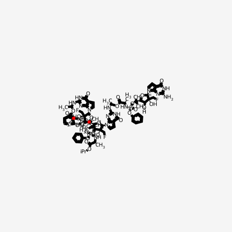 CC(C)OC(=O)[C@H](C)NP(=O)(Oc1ccccc1)OC(C)(C)[C@H]1O[C@@H](n2ccc3c(=O)[nH]c(NC(C)OC(=O)[C@H](C)N[P@@](=O)(Oc4ccccc4)OC(C)(C)[C@H]4O[C@@H](n5ccc6c(=O)[nH]c(NC(C)OC(=O)[C@H](C)N[P@](=O)(Oc7ccccc7)OC(C)(C)[C@H]7O[C@@H](n8ccc9c(=O)[nH]c(N)nc98)[C@@](O)(CF)C7O)nc65)[C@@](O)(CF)C4O)nc32)[C@@](O)(CF)C1O